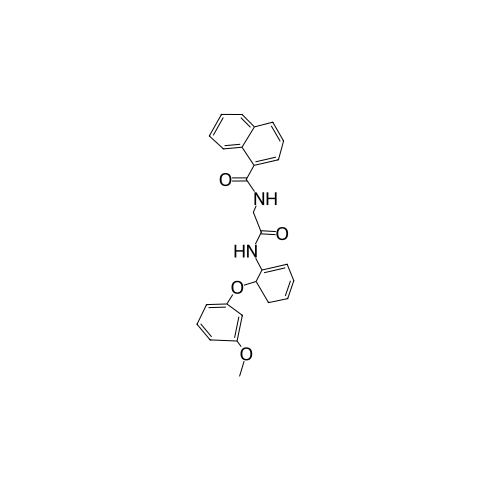 COc1cccc(OC2CC=CC=C2NC(=O)CNC(=O)c2cccc3ccccc23)c1